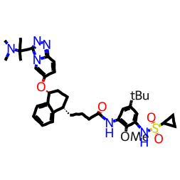 COc1c(NC(=O)CCC[C@H]2CC[C@@H](Oc3ccc4nnc(C(C)(C)N(C)C)n4c3)c3ccccc32)cc(C(C)(C)C)cc1NS(=O)(=O)C1CC1